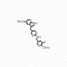 COc1cnc2[nH]cc(Cc3cnc(NCc4cnc(OC)c(F)c4)nc3)c2c1